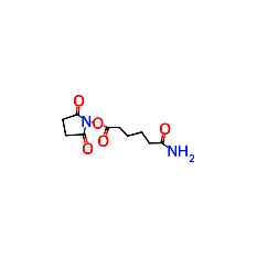 NC(=O)CCCCC(=O)ON1C(=O)CCC1=O